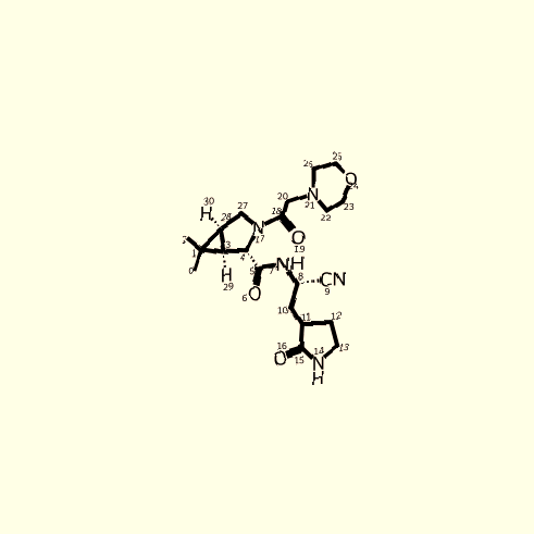 CC1(C)[C@@H]2[C@@H](C(=O)N[C@H](C#N)CC3CCNC3=O)N(C(=O)CN3CCOCC3)C[C@@H]21